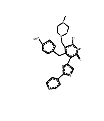 CCc1[nH]c(=O)c(-c2csc(-c3ccncc3)n2)c(Cc2ccc(OC)cc2)c1CN1CCN(C)CC1